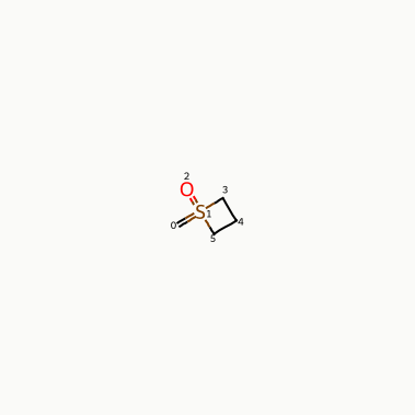 C=S1(=O)CCC1